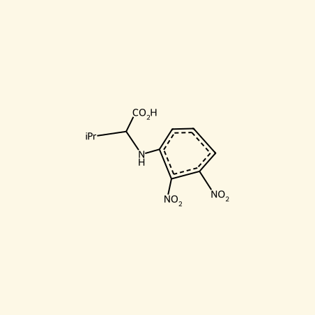 CC(C)C(Nc1cccc([N+](=O)[O-])c1[N+](=O)[O-])C(=O)O